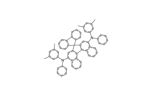 Cc1cc(C)cc(N(c2ccccc2)c2cc3c(c4ccccc24)-c2c(cc(N(c4ccccc4)c4cc(C)cc(C)c4)c4ccccc24)C32c3ccccc3-c3ccccc32)c1